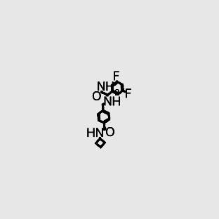 NC(=O)C(NCc1ccc(C(=O)NC2CCC2)cc1)c1cc(F)cc(F)c1